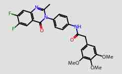 COc1cc(CC(=O)Nc2ccc(-n3c(C)nc4cc(F)c(F)cc4c3=O)cc2)cc(OC)c1OC